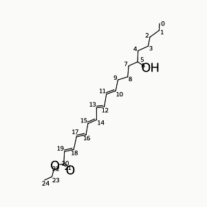 CCCCCC(O)CCCC=CC=CC=CC=CC=CC(=O)OCC